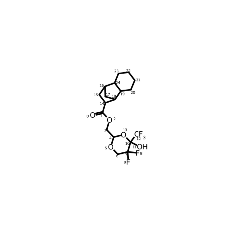 O=C(OCC1OCC(F)(F)C(O)(C(F)(F)F)O1)C1CC2CC1C1CCCCC21